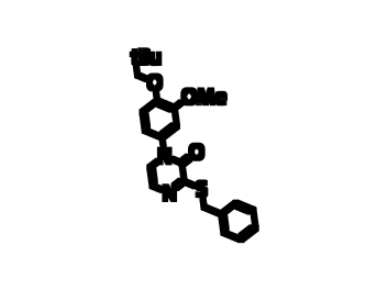 COc1cc(-n2ccnc(SCc3ccccc3)c2=O)ccc1OCC(C)(C)C